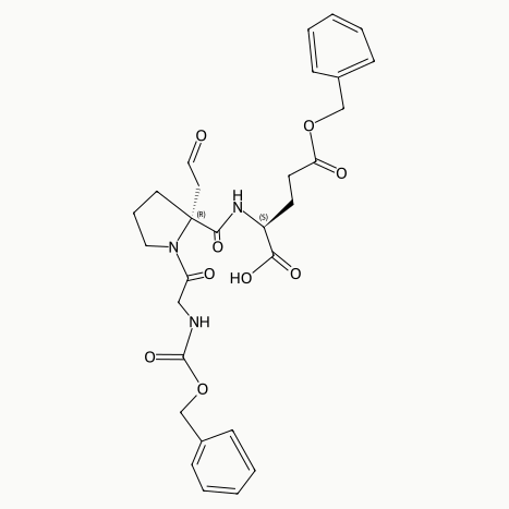 O=CC[C@@]1(C(=O)N[C@@H](CCC(=O)OCc2ccccc2)C(=O)O)CCCN1C(=O)CNC(=O)OCc1ccccc1